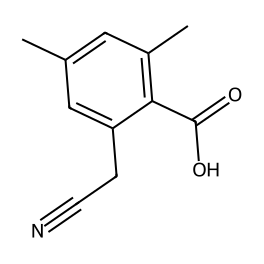 Cc1cc(C)c(C(=O)O)c(CC#N)c1